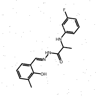 Cc1cccc(C=NNC(=O)C(C)Nc2cccc(F)c2)c1O